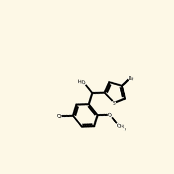 COc1ccc(Cl)cc1C(O)c1cc(Br)cs1